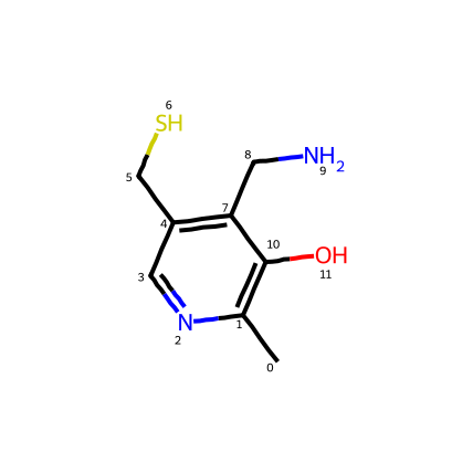 Cc1ncc(CS)c(CN)c1O